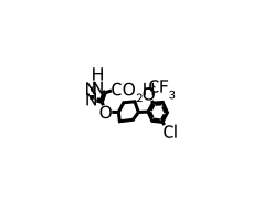 O=C(O)c1[nH]nnc1OC1CCC(c2cc(Cl)ccc2OC(F)(F)F)CC1